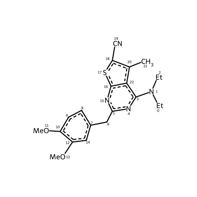 CCN(CC)c1nc(Cc2ccc(OC)c(OC)c2)nc2sc(C#N)c(C)c12